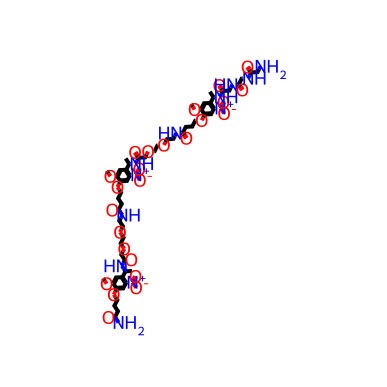 COc1cc(C(C)NC(=O)COCCOCCNC(=O)CCCOc2cc([N+](=O)[O-])c(C(C)NC(=O)COCCOCCNC(=O)CCCOc3cc([N+](=O)[O-])c(C(C)NC(=O)CNC(=O)CNC(=O)CN)cc3OC)cc2OC)c([N+](=O)[O-])cc1OCCCC(N)=O